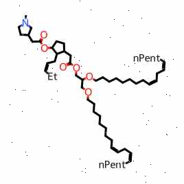 CC/C=C\CC1C(CC(=O)OCC(COCCCCCCCC/C=C\C/C=C\CCCCC)OCCCCCCCC/C=C\C/C=C\CCCCC)CCC1OC(=O)CC1CCN(C)C1